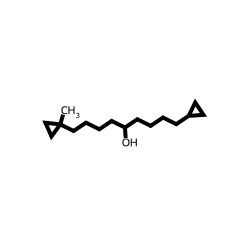 CC1(CCCCC(O)CCCCC2CC2)CC1